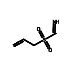 C=CCS(=O)(=O)[C]=N